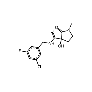 CN1CC[C@](O)(C(=O)NCc2cc(F)cc(Cl)c2)C1=O